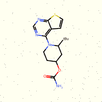 CC(C)(C)C1CC(OC(N)=O)CCN1c1ncnc2sccc12